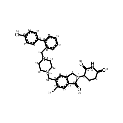 O=C1CCC(N2Cc3cc(CN4CCN(Cc5ccccc5-c5ccc(Cl)cc5)CC4)c(F)cc3C2=O)C(=O)N1